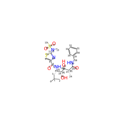 CC(C)C[C@H](NC(=O)c1csc(N(C)S(C)(=O)=O)n1)[C@@H](O)[C@H](O)[C@@H](C)C(=O)NCc1ccccc1